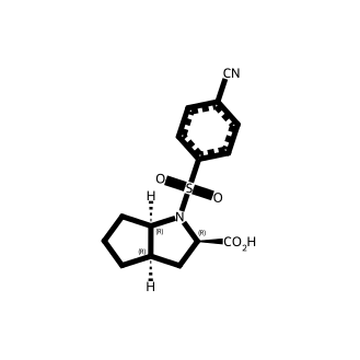 N#Cc1ccc(S(=O)(=O)N2[C@@H](C(=O)O)C[C@H]3CCC[C@H]32)cc1